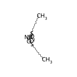 CCCCCCCCCCCCCCSCC(=O)OC(CN)CSC(=O)CSCCCCCCCCCCCCCC